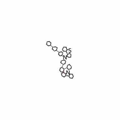 c1ccc(-c2ccc(-c3ccc(N(c4ccc(-c5ccccc5-c5ccccc5-n5c6ccccc6c6ccccc65)cc4)c4cccc5sc6ccccc6c45)cc3)cc2)cc1